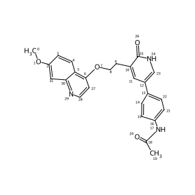 COc1ccc2c(OCCc3cc(-c4ccc(NC(C)=O)cc4)c[nH]c3=O)ccnc2c1